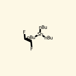 CCC[CH2][Sn]([CH2]CCC)[CH2]CCC.FC=CF